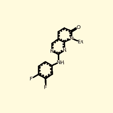 CCn1c(=O)ccc2cnc(Nc3ccc(F)c(F)c3)nc21